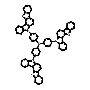 c1ccc2c(c1)sc1c2ccc2c1c1ccccc1n2-c1ccc(N(c2ccc(-n3c4ccccc4c4c5sc6ccccc6c5ccc43)cc2)c2ccc(-n3c4ccccc4c4c5sc6ccccc6c5ccc43)cc2)cc1